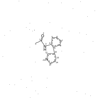 CC(=O)Nc1ccccc1-c1[c]nccc1